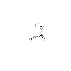 O=[Se]([O-])[O-].[H+].[Pt+2]